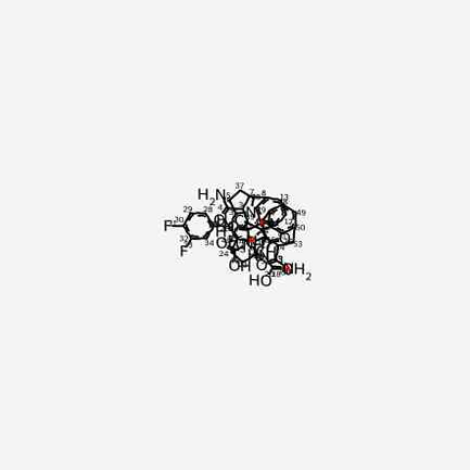 CC1(C)C(C(N)=O)Cc2ccc(cc2)[C@@]1(C(=O)NC(=O)O)N1CCCC1N(c1ccc(F)c(F)c1)C1CCCN1[C@]1(C(=O)NC(=O)O)c2ccc(cc2)CC(C(N)=O)C1(C)C